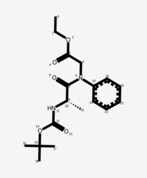 CCOC(=O)CN(C(=O)[C@H](C)NC(=O)OC(C)(C)C)c1ccccc1